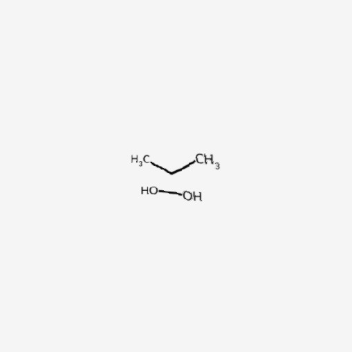 CCC.OO